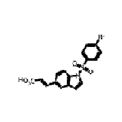 O=C(O)/C=C/c1ccc2c(ccn2S(=O)(=O)c2ccc(Br)cc2)c1